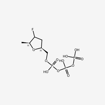 C[C@@H]1O[C@H](COP(=O)(O)OP(=O)(O)OP(=O)(O)O)CC1F